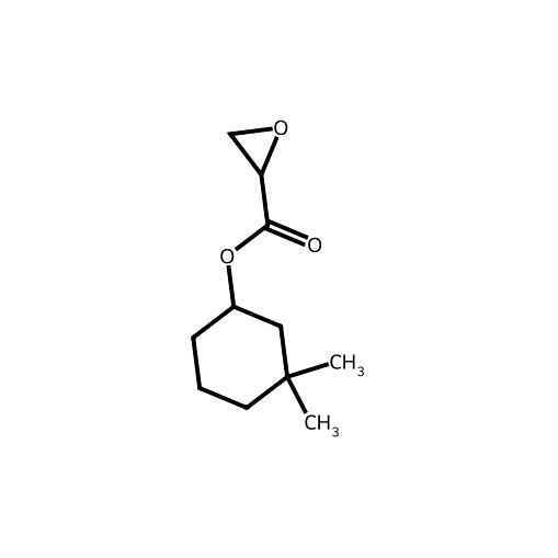 CC1(C)CCCC(OC(=O)C2CO2)C1